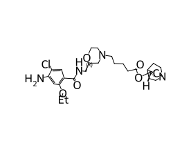 CCOc1cc(N)c(Cl)cc1C(=O)NC[C@@H]1CN(CCCCC(=O)O[C@H]2CN3CCC2CC3)CCO1